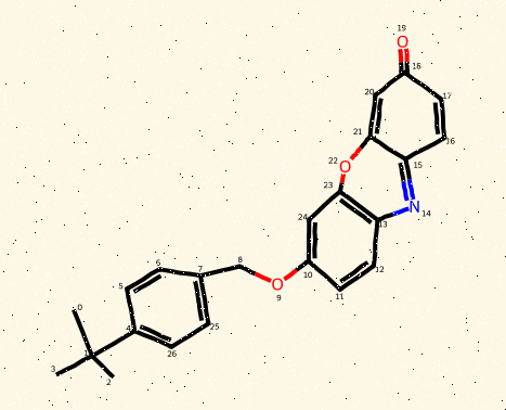 CC(C)(C)c1ccc(COc2ccc3nc4ccc(=O)cc-4oc3c2)cc1